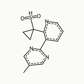 Cc1cnc(-c2cccnc2C2([SH](=O)=O)CC2)nc1